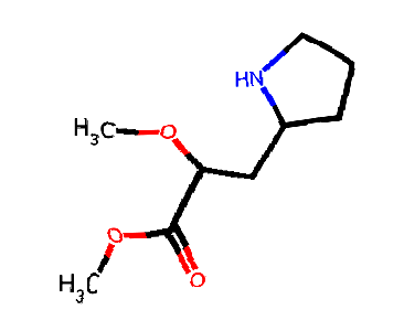 COC(=O)C(CC1CCCN1)OC